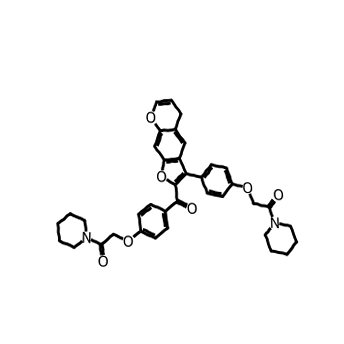 O=C(c1ccc(OCC(=O)N2CCCCC2)cc1)c1oc2cc3c(cc2c1-c1ccc(OCC(=O)N2CCCCC2)cc1)CC=CO3